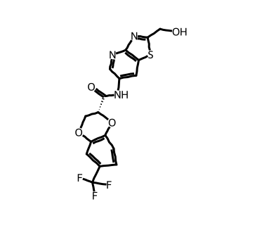 O=C(Nc1cnc2nc(CO)sc2c1)[C@H]1COc2cc(C(F)(F)F)ccc2O1